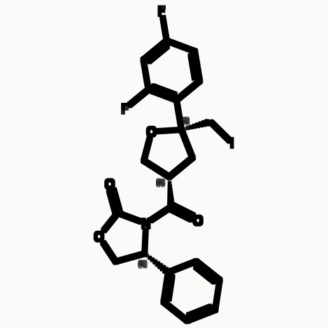 O=C1OC[C@@H](c2ccccc2)N1C(=O)[C@@H]1CO[C@@](CI)(c2ccc(F)cc2F)C1